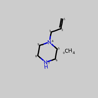 C.C=CCN1CCNCC1